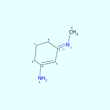 C/N=C1/C=C(N)CCC1